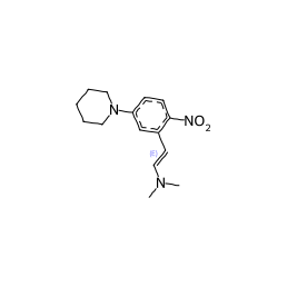 CN(C)/C=C/c1cc(N2CCCCC2)ccc1[N+](=O)[O-]